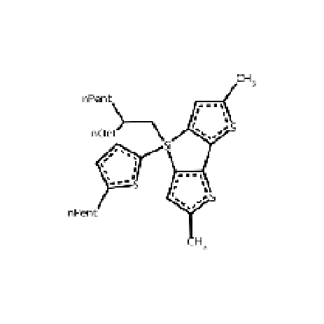 CCCCCCCCC(CCCCC)C[Si]1(c2ccc(CCCCC)s2)c2cc(C)sc2-c2sc(C)cc21